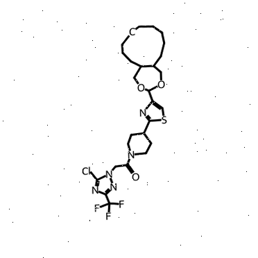 O=C(Cn1nc(C(F)(F)F)nc1Cl)N1CCC(c2nc(C3OCC4CCCCCCCCCC4CO3)cs2)CC1